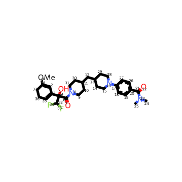 COC1=CC(C(O)(C(=O)N2CCC(CC3CCN(c4ccc(C(=O)N(C)C)cc4)CC3)CC2)C(F)F)=CCC1